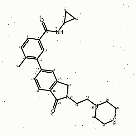 Cc1ccc(C(=O)NC2CC2)cc1-c1ccc2c(c1)CN(CCN1CCOCC1)C2=O